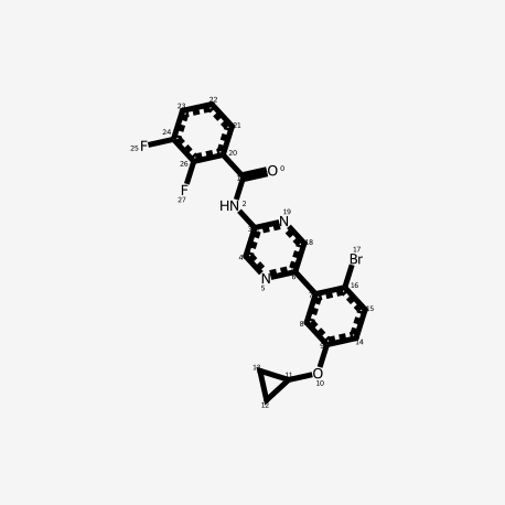 O=C(Nc1cnc(-c2cc(OC3CC3)ccc2Br)cn1)c1cccc(F)c1F